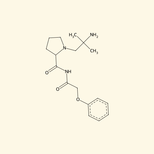 CC(C)(N)CN1CCCC1C(=O)NC(=O)COc1ccccc1